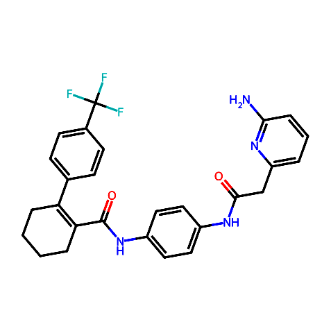 Nc1cccc(CC(=O)Nc2ccc(NC(=O)C3=C(c4ccc(C(F)(F)F)cc4)CCCC3)cc2)n1